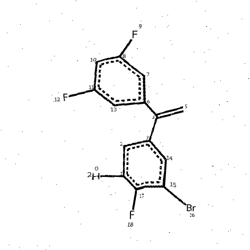 [2H]c1cc(C(=C)c2cc(F)cc(F)c2)cc(Br)c1F